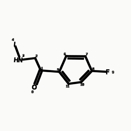 O=C(CNI)c1ccc(F)cc1